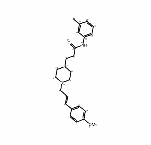 COc1ccc(C=CCN2CCN(CCC(=O)Nc3cccc(C)c3)CC2)cc1